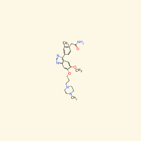 COc1cc2c(-c3ccc(CC(N)=O)c(C)c3)ncnc2cc1OCCCN1CCN(C)CC1